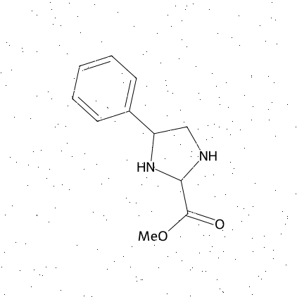 COC(=O)C1NCC(c2ccccc2)N1